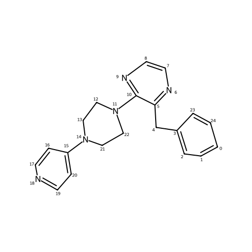 c1ccc(Cc2nccnc2N2CCN(c3ccncc3)CC2)cc1